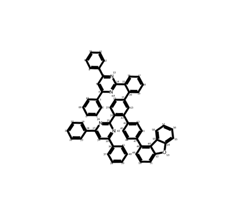 c1ccc(-c2cc(-c3ccccc3)nc(-c3ccccc3-c3ccc(-c4nc(-c5ccccc5)cc(-c5ccccc5)n4)c(-c4ccc(-c5cccc6oc7ccccc7c56)cc4)c3)n2)cc1